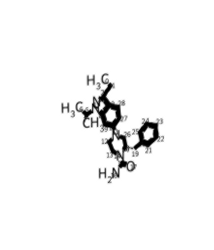 CCc1nn(C(C)C)c2cc(N3CCN(C(N)=O)[C@@H](Cc4ccccc4)C3)ccc12